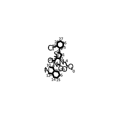 COC(=O)Cn1c(=O)n(-c2cncc3ccccc23)c(=O)c2sc(-c3ccccc3Cl)cc21